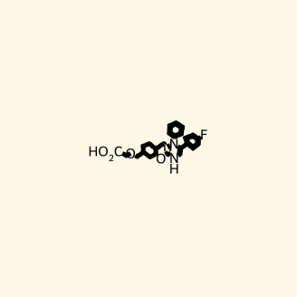 O=C(O)COCC1CCC(CN2C(=O)NC=C(c3ccc(F)cc3)N2c2ccccc2)CC1